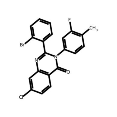 Cc1ccc(-n2c(-c3ccccc3Br)nc3cc(Cl)ccc3c2=O)cc1F